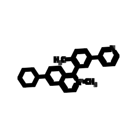 Cc1ccc(-c2cccnc2)cc1-c1c2ccc(C3CCCCC3)cc2cc[n+]1C